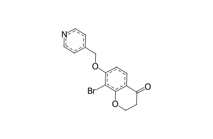 O=C1CCOc2c1ccc(OCc1ccncc1)c2Br